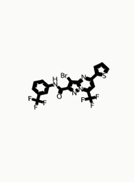 O=C(Nc1cccc(C(F)(F)F)c1)c1nn2c(C(F)(F)F)cc(-c3cccs3)nc2c1Br